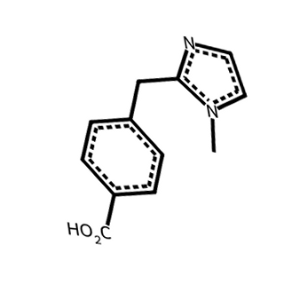 Cn1ccnc1Cc1ccc(C(=O)O)cc1